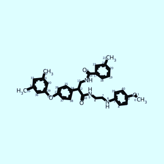 COc1ccc(NCCNC(=O)C(CNC(=O)c2cccc(C)c2)c2ccc(Oc3cc(C)cc(C)c3)cc2)cc1